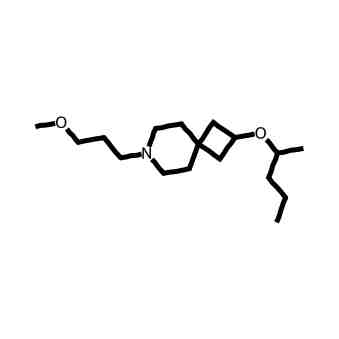 CCCC(C)OC1CC2(CCN(CCCOC)CC2)C1